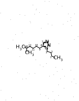 CCCCn1nncc1CCCCC(C)C